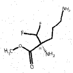 COC(=O)[C@](N)(CCCN)C(F)F